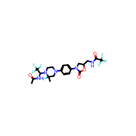 CC(=O)NC(N1CCN(c2ccc(N3CC(CNC(=O)C(F)(F)F)OC3=O)cc2)CC1(C)F)C(F)(F)F